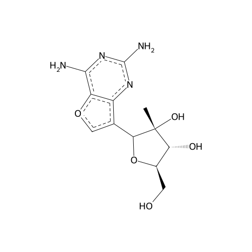 C[C@]1(O)C(c2coc3c(N)nc(N)nc23)O[C@H](CO)[C@H]1O